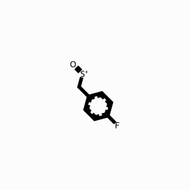 O=[S+]Cc1ccc(F)cc1